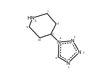 c1nnnn1C1CCNCC1